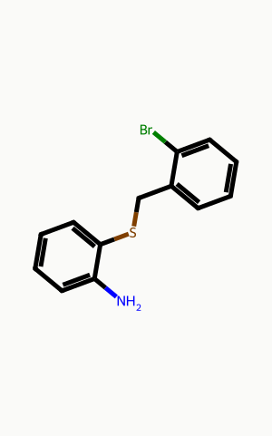 Nc1ccccc1SCc1ccccc1Br